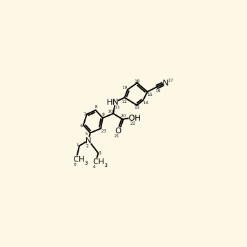 CCN(CC)c1cccc(C(Nc2ccc(C#N)cc2)C(=O)O)c1